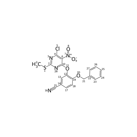 CSc1nc(Cl)c([N+](=O)[O-])c(Oc2cc(C#N)ccc2OCc2ccccc2)n1